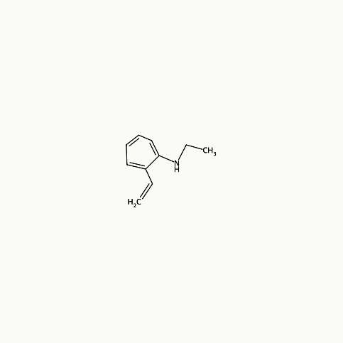 C=Cc1ccccc1NCC